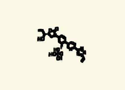 C=Cn1nnc(-c2ccc(-c3ccc(N4C[C@H](C(O)CC)OC4=O)cc3F)cn2)n1.O=P(O)(O)O